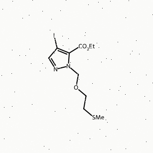 CCOC(=O)c1c(I)cnn1COCCSC